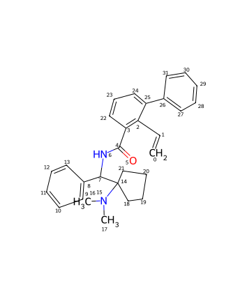 C=Cc1c(C(=O)NC(c2ccccc2)C2(N(C)C)CCCC2)cccc1-c1ccccc1